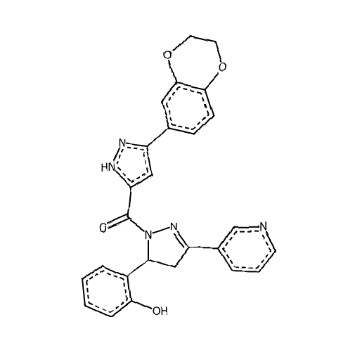 O=C(c1cc(-c2ccc3c(c2)OCCO3)n[nH]1)N1N=C(c2cccnc2)CC1c1ccccc1O